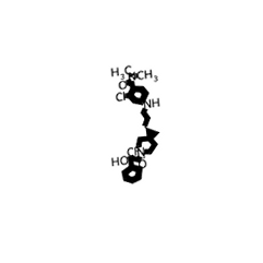 CN(C)C(=O)c1ccc(NCCC[C@@H]2CC23CCN(C(=O)C(O)(c2ccccc2)C(F)(F)F)CC3)cc1Cl